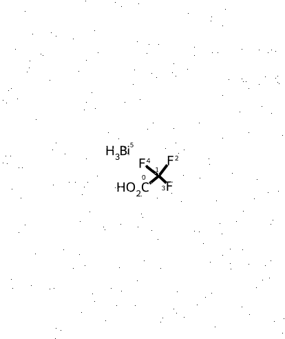 O=C(O)C(F)(F)F.[BiH3]